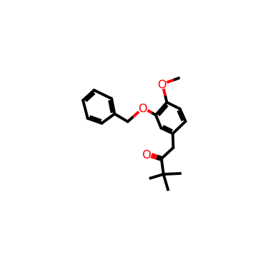 COc1ccc(CC(=O)C(C)(C)C)cc1OCc1ccccc1